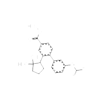 COC(=O)c1ccc(-c2cccc(OC(F)F)c2)c(C2CCCC2(C)C)c1